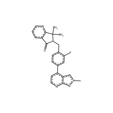 BC1(B)c2ncccc2C(=O)N1Cc1ccc(-c2ccnc3nn(C)cc23)cc1F